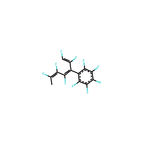 C\C(F)=C(F)/C(F)=C(\C(F)=C\F)c1c(F)c(F)c(F)c(F)c1F